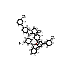 N#Cc1cccc(-c2ccc3c(c2)c2ccccc2n3-c2cc(C#N)cc(-n3c4ccccc4c4cc(-c5cccc(C#N)c5)ccc43)c2-c2cc(C(F)(F)F)ccc2C(F)(F)F)c1